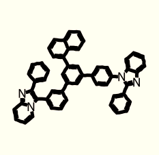 c1ccc(-c2nc3ccccn3c2-c2cccc(-c3cc(-c4ccc(-n5c(-c6ccccc6)nc6ccccc65)cc4)cc(-c4cccc5ccccc45)c3)c2)cc1